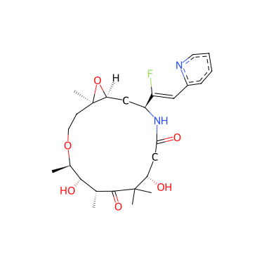 C[C@H]1OCC[C@@]2(C)O[C@H]2C[C@@H](C(F)=Cc2ccccn2)NC(=O)C[C@H](O)C(C)(C)C(=O)[C@H](C)[C@@H]1O